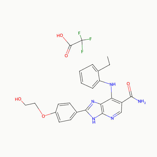 CCc1ccccc1Nc1c(C(N)=O)cnc2[nH]c(-c3ccc(OCCO)cc3)nc12.O=C(O)C(F)(F)F